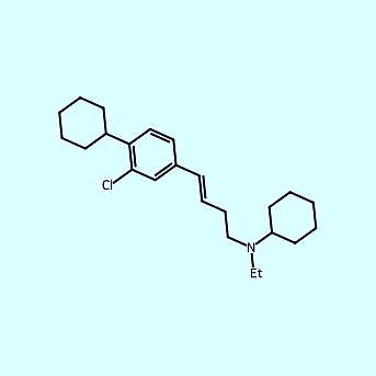 CCN(CCC=Cc1ccc(C2CCCCC2)c(Cl)c1)C1CCCCC1